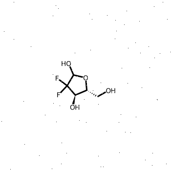 OC[C@H]1OC(O)C(F)(F)[C@@H]1O